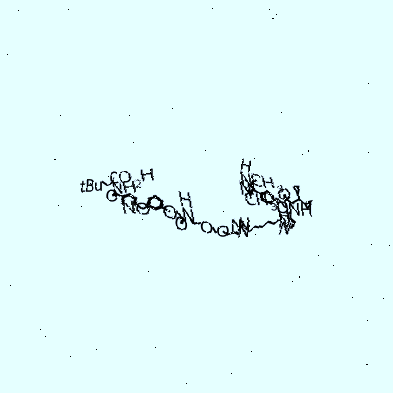 Cc1n[nH]c(C)c1-c1ccc(NC(=O)[C@@H](NC(=O)c2ccnn2CCCCCCn2cc(COCCOCCNC(=O)COc3cccc(Oc4ccc(C(=O)N[C@@H](CCC(C)(C)C)C(=O)O)cn4)c3)nn2)C(C2CC2)C2CC2)cc1